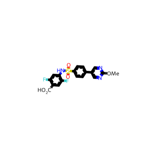 COc1ncc(-c2ccc(S(=O)(=O)Nc3cc(F)c(C(=O)O)cc3F)cc2)cn1